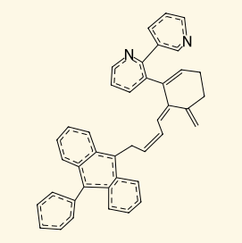 C=C1CCC=C(c2cccnc2-c2cccnc2)/C1=C/C=C\Cc1c2ccccc2c(-c2ccccc2)c2ccccc12